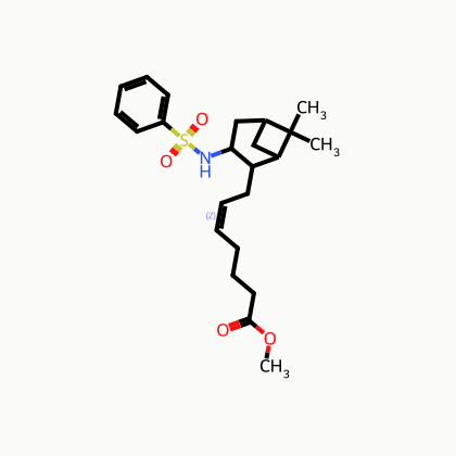 COC(=O)CCC/C=C\CC1C(NS(=O)(=O)c2ccccc2)CC2CC1C2(C)C